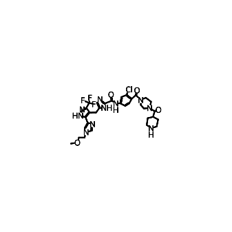 COCCn1cnc(-c2[nH]nc(C(F)(F)F)c2Cc2cnc(C(=O)Nc3ccc(C(=O)N4CCN(C(=O)C5CCNCC5)CC4)c(Cl)c3)[nH]2)c1